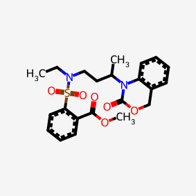 CCN(CCC(C)N1C(=O)OCc2ccccc21)S(=O)(=O)c1ccccc1C(=O)OC